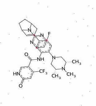 C[C@@H]1CN(c2cc(F)c(C3=CC4CCC(C3)N4c3ncccn3)cc2NC(=O)c2c[nH]c(=O)cc2C(F)(F)F)C[C@H](C)N1C